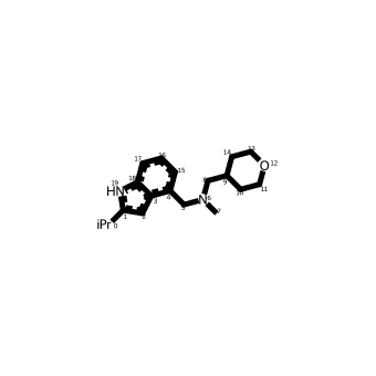 CC(C)c1cc2c(CN(C)CC3CCOCC3)cccc2[nH]1